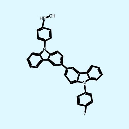 OBc1ccc(-n2c3ccccc3c3cc(-c4ccc5c(c4)c4ccccc4n5-c4ccc(F)cc4)ccc32)cc1